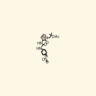 CC(=O)OC(C)(C)CNC(=O)[C@H](CC(C)C)NC(=O)Nc1ccc(C[SH](=O)=O)cc1